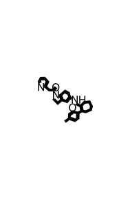 Cc1ccc(C2=C(C(=O)Nc3ccc4c(c3)CCN4C(=O)Cc3ccccn3)CCCCC2)cc1